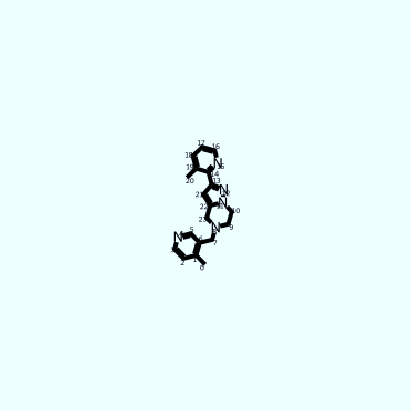 Cc1ccncc1CN1CCn2nc(-c3ncccc3C)cc2C1